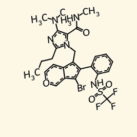 CCCc1nc(N(C)C)c(C(=O)NC)n1Cc1c2ccocc-2c(Br)c1-c1ccccc1NS(=O)(=O)C(F)(F)F